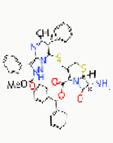 COC(=O)N1NN2C(=C1c1ccccc1)N=C(C)C(c1ccccc1)=C2SCC1=C(C(=O)OC(c2ccccc2)c2ccccc2)N2C(=O)[C@@H](N)[C@H]2SC1